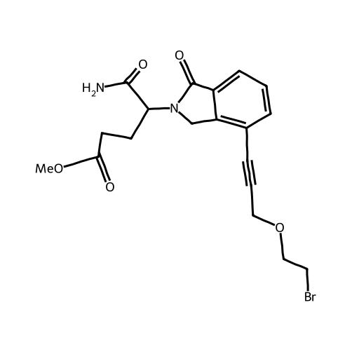 COC(=O)CCC(C(N)=O)N1Cc2c(C#CCOCCBr)cccc2C1=O